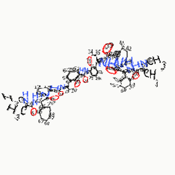 CN[C@@H](C)C(=O)NC(C(=O)N1CCC[C@H]1C(=O)N[C@@H]1CCOc2c(C(=O)Nc3cccc4c3OCC[C@H]4NC(=O)[C@@H]3CCCN3C(=O)[C@@H](NC(=O)[C@H](C)NC)C3CCCCC3)cccc21)C1CCCCC1